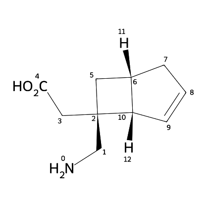 NC[C@@]1(CC(=O)O)C[C@@H]2CC=C[C@@H]21